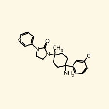 CC1(N2CCN(c3cccnc3)C2=O)CCC(N)(c2cccc(Cl)c2)CC1